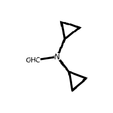 O=CN(C1CC1)C1CC1